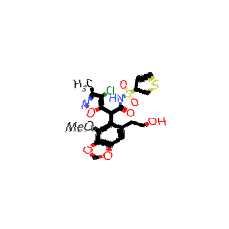 COc1c2c(cc(CCO)c1C(C(=O)NS(=O)(=O)c1ccsc1)c1onc(C)c1Cl)OCO2